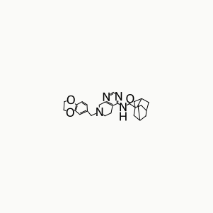 O=C(Nc1ncnc2c1CCN(Cc1ccc3c(c1)OCCO3)C2)C12CC3CC(CC(C3)C1)C2